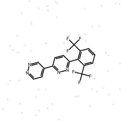 FC(F)(F)c1cccc(C(F)(F)F)c1-c1ccc(-c2[c]nncc2)nn1